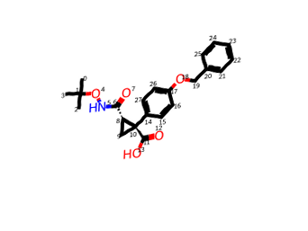 CC(C)(C)ONC(=O)[C@H]1C[C@@]1(C(=O)O)c1ccc(OCc2ccccc2)cc1